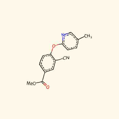 COC(=O)c1ccc(Oc2ccc(C)cn2)c(C#N)c1